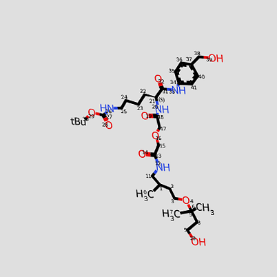 CC(CCOC(C)(C)CCO)CNC(=O)COCC(=O)N[C@@H](CCCCNC(=O)OC(C)(C)C)C(=O)Nc1ccc(CO)cc1